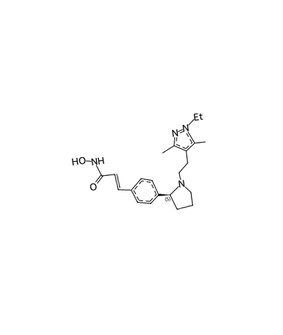 CCn1nc(C)c(CCN2CCC[C@H]2c2ccc(C=CC(=O)NO)cc2)c1C